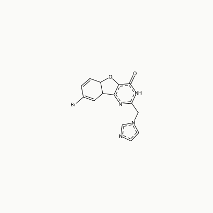 O=c1[nH]c(Cn2ccnc2)nc2c1OC1C=CC(Br)=CC21